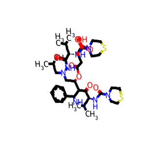 CC(C)CN(CC(OC(=O)CCC(=O)O)C(C(=O)[C@@H](NC(=O)N1CCSCC1)C(C)C)C(N)c1ccccc1)NC(=O)[C@@H](NC(=O)N1CCSCC1)C(C)C